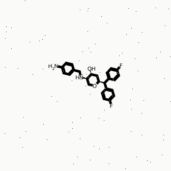 Nc1ccc(CN[C@@H]2CO[C@H](C(c3ccc(F)cc3)c3ccc(F)cc3)C[C@H]2O)cc1